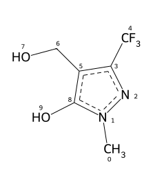 Cn1nc(C(F)(F)F)c(CO)c1O